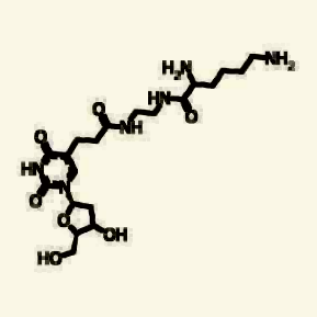 NCCCCC(N)C(=O)NCCNC(=O)CCc1cn([C@H]2CC(O)[C@@H](CO)O2)c(=O)[nH]c1=O